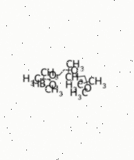 CBC(C)(C)C(=O)OCCC(C)(C)OCCC(C)(C)OC